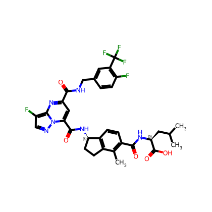 Cc1c(C(=O)N[C@@H](CC(C)C)C(=O)O)ccc2c1CC[C@@H]2NC(=O)c1cc(C(=O)NCc2ccc(F)c(C(F)(F)F)c2)nc2c(F)cnn12